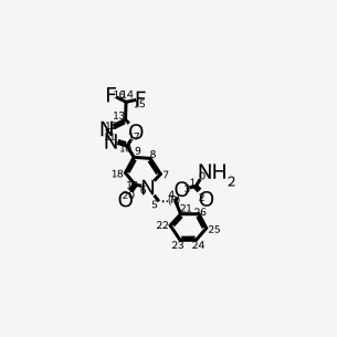 NC(=O)O[C@@H](Cn1ccc(-c2nnc(C(F)F)o2)cc1=O)c1ccccc1